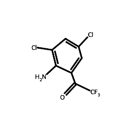 Nc1c(Cl)cc(Cl)cc1C(=O)C(F)(F)F